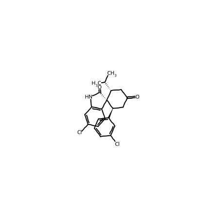 CC(C)[C@@H]1CC(=O)C[C@@H](c2cccc(Cl)c2)[C@]12C(=O)Nc1cc(Cl)ccc12